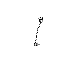 OCCCCCCCCCCCCCC#CCCCCOC1CCCCO1